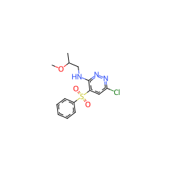 COC(C)CNc1nnc(Cl)cc1S(=O)(=O)c1ccccc1